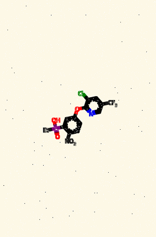 CCP(=O)(O)c1cc(Oc2ncc(C(F)(F)F)cc2Cl)ccc1[N+](=O)[O-]